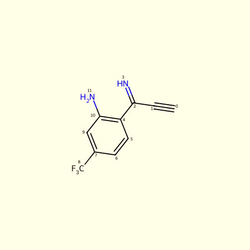 C#CC(=N)c1ccc(C(F)(F)F)cc1N